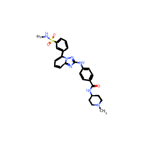 CC(C)NS(=O)(=O)c1cccc(-c2cccc3nc(Nc4ccc(C(=O)NC5CCN(C)CC5)cc4)nn23)c1